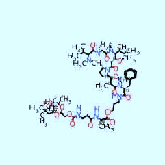 CC[C@H](C)C([C@@H](CC(=O)N1CCC[C@H]1[C@H](OC)[C@@H](C)C(=O)N[C@@H](Cc1ccccc1)C(=O)NCCCOC(=O)[C@H](C)NC(=O)CCNC(=O)OCC(OC(CO)CC(C)(C)C)OC(C)(C)C)OC)N(C)C(=O)CNC(=O)C(C(C)C)N(C)C